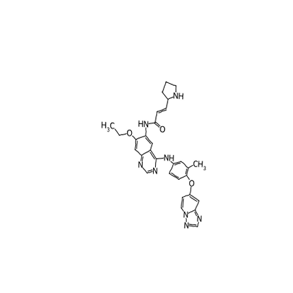 CCOc1cc2ncnc(Nc3ccc(Oc4ccn5ncnc5c4)c(C)c3)c2cc1NC(=O)C=CC1CCCN1